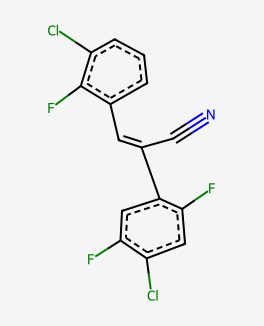 N#C/C(=C\c1cccc(Cl)c1F)c1cc(F)c(Cl)cc1F